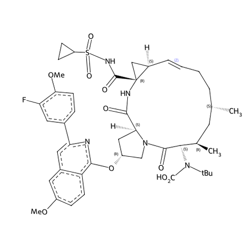 COc1ccc2c(O[C@@H]3C[C@H]4C(=O)N[C@]5(C(=O)NS(=O)(=O)C6CC6)C[C@H]5/C=C\CC[C@H](C)C[C@@H](C)[C@H](N(C(=O)O)C(C)(C)C)C(=O)N4C3)nc(-c3ccc(OC)c(F)c3)cc2c1